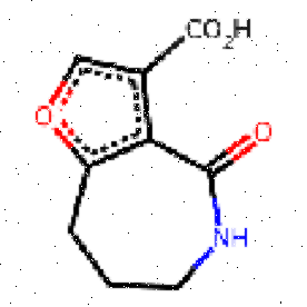 O=C(O)c1coc2c1C(=O)NCCC2